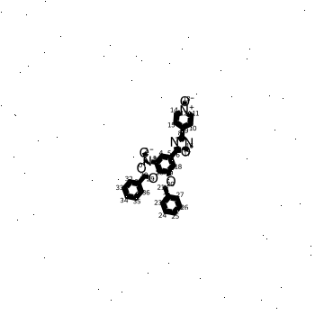 O=[N+]([O-])c1cc(-c2nc(-c3cc[n+]([O-])cc3)no2)cc(OCc2ccccc2)c1OCc1ccccc1